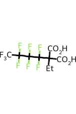 CCC(C(=O)O)(C(=O)O)C(F)(F)C(F)(F)C(F)(F)C(F)(F)F